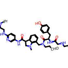 C=CCNCC(=O)NC(Cc1ccc(O)cc1)C(=O)N(CCC=O)Cc1cccc2c1N(C)CC2C(=O)Nc1ccc(NCCN(C(C)C)C(C)C)nc1